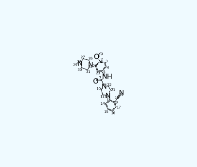 COc1ccc(NC(=O)N2CCN(c3ccccc3C#N)CC2)cc1N1CCN(C)CC1